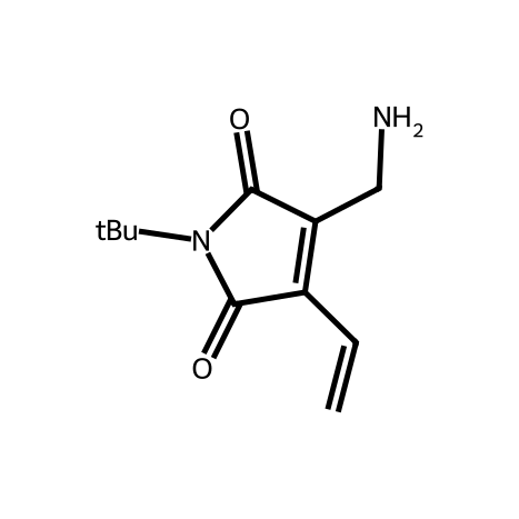 C=CC1=C(CN)C(=O)N(C(C)(C)C)C1=O